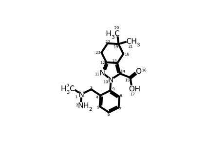 CN(N)Cc1ccccc1-n1nc2c(c1C(=O)O)CC(C)(C)CC2